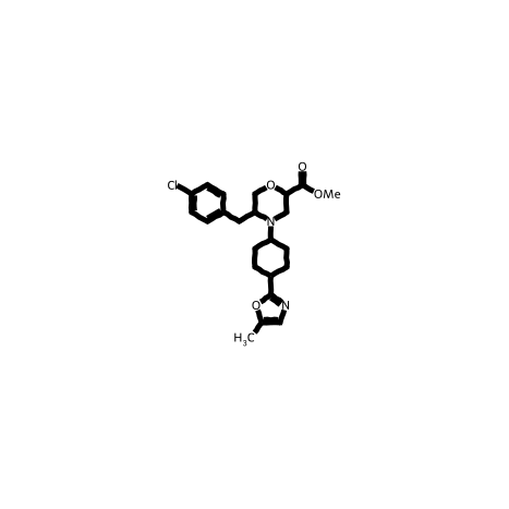 COC(=O)C1CN(C2CCC(c3ncc(C)o3)CC2)C(Cc2ccc(Cl)cc2)CO1